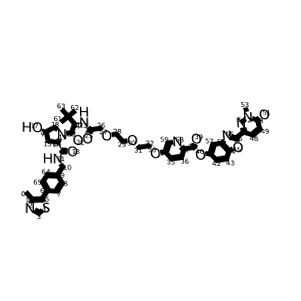 Cc1ncsc1-c1ccc(CNC(=O)[C@@H]2C[C@@H](O)CN2C(=O)[C@@H](NC(=O)COCCOCCOc2ccc(C(=O)Oc3ccc4oc(-c5ccc(=O)n(C)n5)nc4c3)nc2)C(C)(C)C)cc1